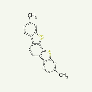 Cc1ccc2c(c1)sc1c2ccc2c3ccc(C)cc3sc21